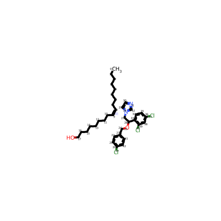 CCCCCCCC/C=C\CCCCCCCCO.Clc1ccc(COC(Cn2ccnc2)c2ccc(Cl)cc2Cl)cc1